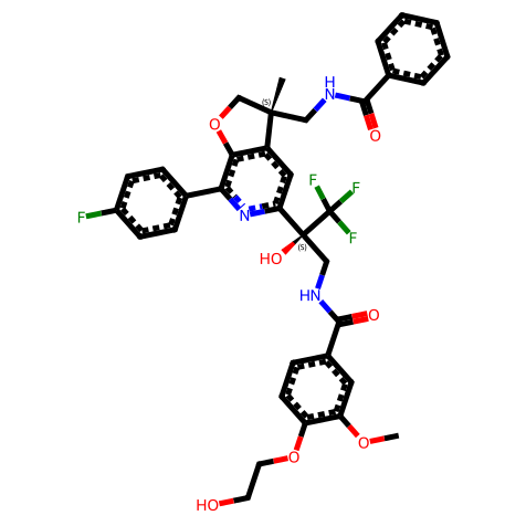 COc1cc(C(=O)NC[C@](O)(c2cc3c(c(-c4ccc(F)cc4)n2)OC[C@]3(C)CNC(=O)c2ccccc2)C(F)(F)F)ccc1OCCO